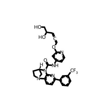 O=C(Nc1ccnc(OC=C=CC(O)CO)c1)N1c2nc(-c3cccc(C(F)(F)F)c3)ccc2N2CC[C@H]1C2